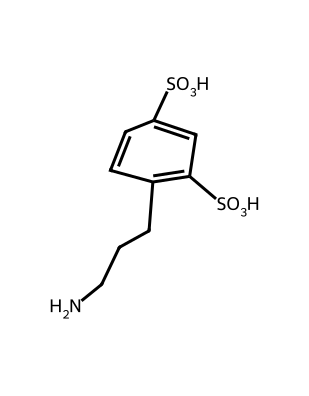 NCCCc1ccc(S(=O)(=O)O)cc1S(=O)(=O)O